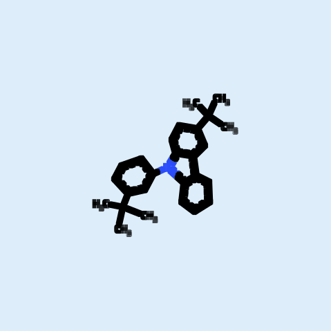 CC(C)(C)c1cccc(-n2c3ccccc3c3cc(C(C)(C)C)ccc32)c1